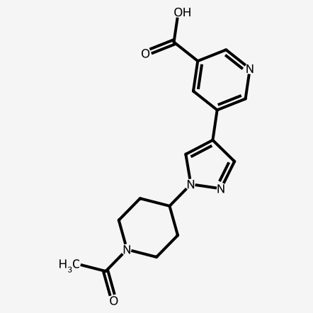 CC(=O)N1CCC(n2cc(-c3cncc(C(=O)O)c3)cn2)CC1